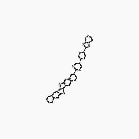 c1ccc2cc3c(cc2c1)sc1c2cc4ccc(-c5ncc(-c6ccc(-c7cc8ccccc8s7)cc6)cn5)cc4cc2sc31